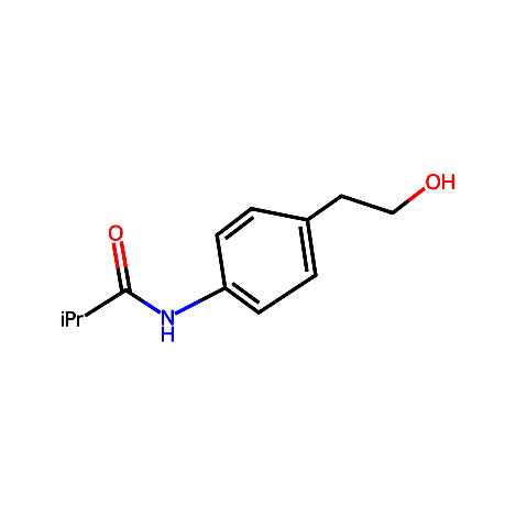 CC(C)C(=O)Nc1ccc(CCO)cc1